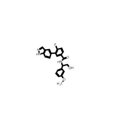 COc1cccc(C(CO)NC(=O)c2ccc(F)c(-c3ccc4[nH]ncc4c3)c2)c1